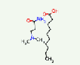 CCCCCCCCCC(=O)O.CN(C)CCC(N)=O